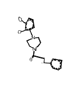 O=C(C[CH]c1ccccc1)N1CCN(c2cccc(Cl)c2Cl)CC1